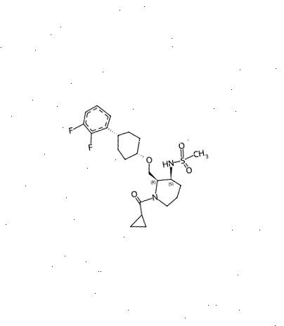 CS(=O)(=O)N[C@H]1CCCN(C(=O)C2CC2)[C@H]1CO[C@H]1CC[C@@H](c2cccc(F)c2F)CC1